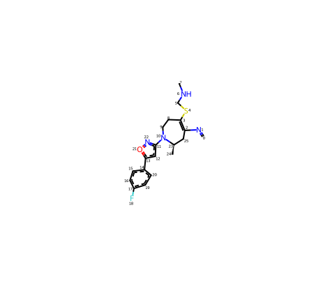 C=NC1=C(SCNC)CCN(c2cc(-c3ccc(F)cc3)on2)[C@H](C)C1